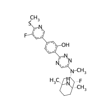 CSc1ncc(-c2ccc(-c3ncc(N(C)[C@H]4C[C@]5(C)CCC[C@@](C)(N5)[C@H]4F)nn3)c(O)c2)cc1F